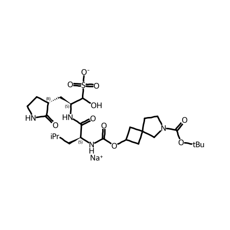 CC(C)C[C@H](NC(=O)OC1CC2(CCN(C(=O)OC(C)(C)C)C2)C1)C(=O)N[C@@H](C[C@H]1CCNC1=O)C(O)S(=O)(=O)[O-].[Na+]